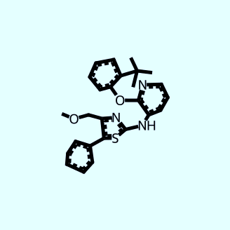 COCc1nc(Nc2cccnc2Oc2ccccc2C(C)(C)C)sc1-c1ccccc1